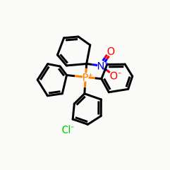 O=[N+]([O-])C1([P+](c2ccccc2)(c2ccccc2)c2ccccc2)C=CC=CC1.[Cl-]